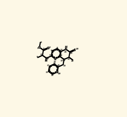 COC(=O)C(C)Nc1ccc2c(n1)N(Cc1ccccn1)C(C)C(=S)N2